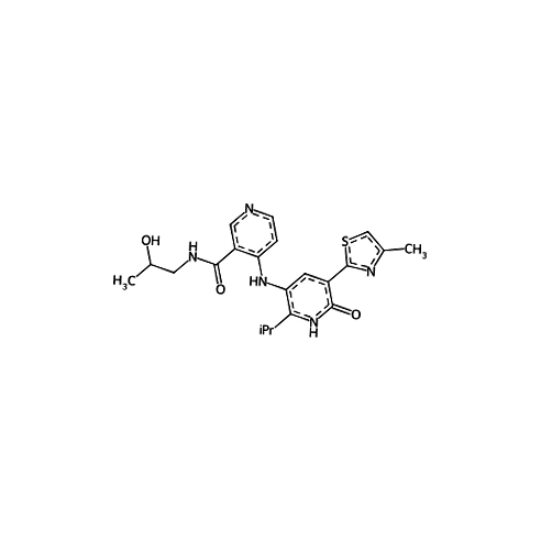 Cc1csc(-c2cc(Nc3ccncc3C(=O)NCC(C)O)c(C(C)C)[nH]c2=O)n1